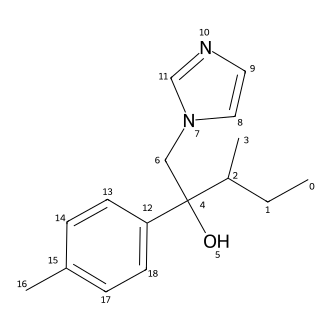 CCC(C)C(O)(Cn1ccnc1)c1ccc(C)cc1